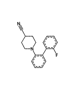 N#CC1CCN(c2ccccc2-c2ccccc2F)CC1